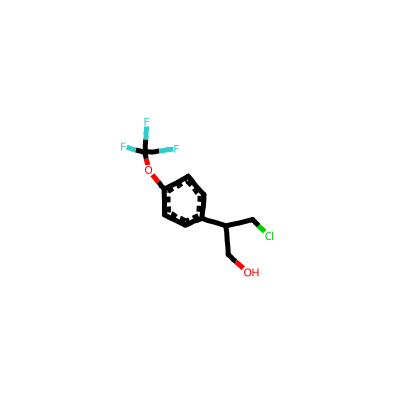 OCC(CCl)c1ccc(OC(F)(F)F)cc1